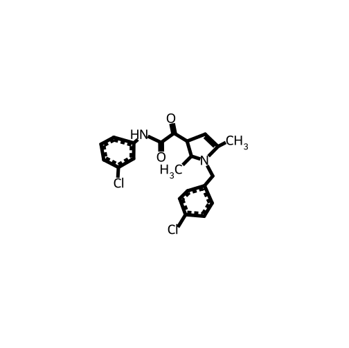 CC1=CC(C(=O)C(=O)Nc2cccc(Cl)c2)C(C)N1Cc1ccc(Cl)cc1